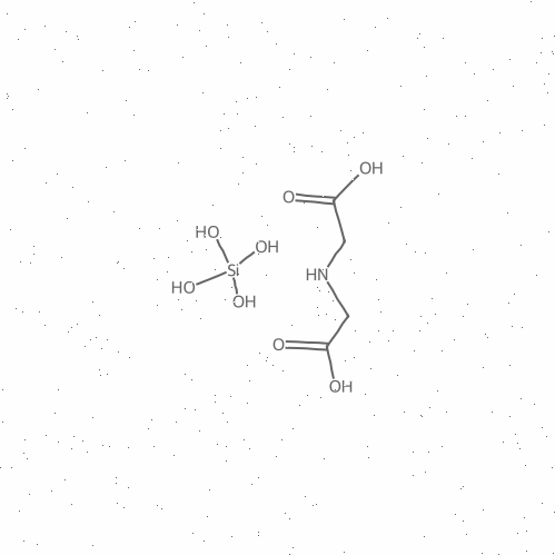 O=C(O)CNCC(=O)O.O[Si](O)(O)O